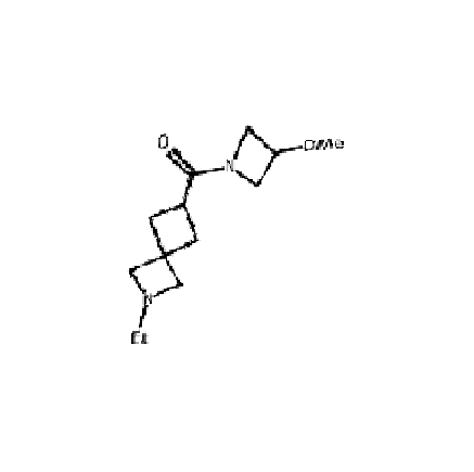 CCN1CC2(CC(C(=O)N3CC(OC)C3)C2)C1